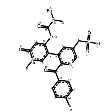 CCS(=O)(=O)Cc1cnc(C(=O)c2ccc(F)cc2)c(-c2cn(C)c(=O)cc2OC(=O)N(C)C(C)(C)C)c1